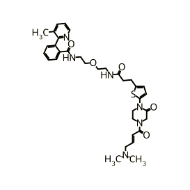 Cc1cccnc1-c1ccccc1C(=O)NCCOCCNC(=O)CCc1ccc(N2CCN(C(=O)C=CCN(C)C)CC2=O)s1